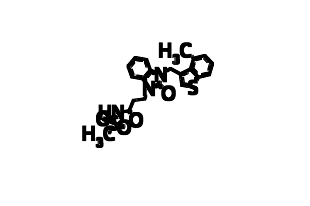 Cc1cccc2scc(Cn3c(=O)n(CCC(=O)NS(C)(=O)=O)c4ccccc43)c12